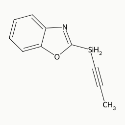 CC#C[SiH2]c1nc2ccccc2o1